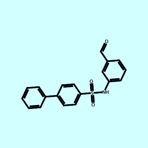 O=Cc1cccc(NS(=O)(=O)c2ccc(-c3ccccc3)cc2)c1